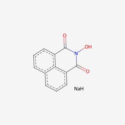 O=C1c2cccc3cccc(c23)C(=O)N1O.[NaH]